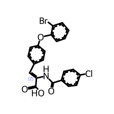 O=C(O)/C(=C/c1ccc(Oc2ccccc2Br)cc1)NC(=O)c1ccc(Cl)cc1